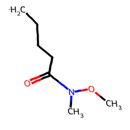 [CH2]CCCC(=O)N(C)OC